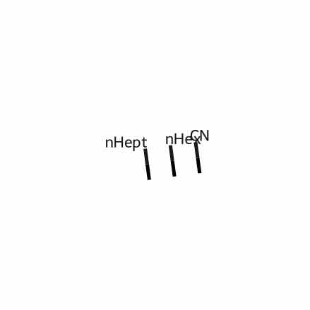 CC#N.CCCCCCC.CCCCCCCC